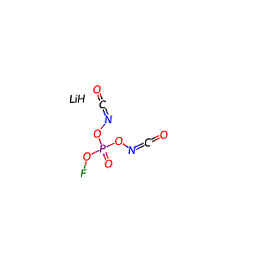 O=C=NOP(=O)(OF)ON=C=O.[LiH]